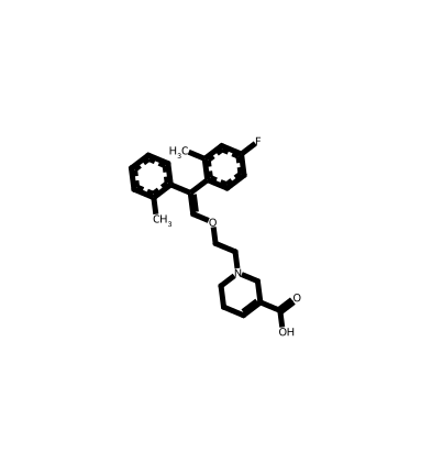 Cc1ccccc1C(=COCCN1CCC=C(C(=O)O)C1)c1ccc(F)cc1C